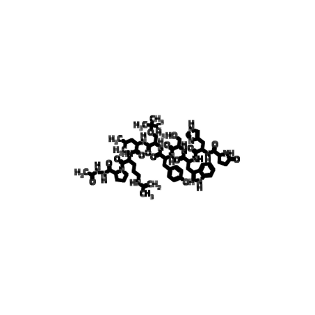 C=C(C)NCCCC(NC(=O)C(CC(C)C)NC(=O)C(COC(C)(C)C)NC(=O)C(Cc1ccc(O)cc1)NC(=O)C(CO)NC(=O)C(Cc1c[nH]c2ccccc12)NC(=O)C(Cc1c[nH]cn1)NC(=O)C1CCC(=O)N1)C(=O)N1CCCC1C(=O)NNC(C)=O